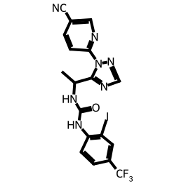 CC(NC(=O)Nc1ccc(C(F)(F)F)cc1I)c1ncnn1-c1ccc(C#N)cn1